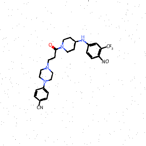 N#Cc1ccc(N2CCN(CCC(=O)N3CCC(Nc4ccc(N=O)c(C(F)(F)F)c4)CC3)CC2)cc1